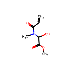 C=CC(=O)N(C)C(O)C(=O)OC